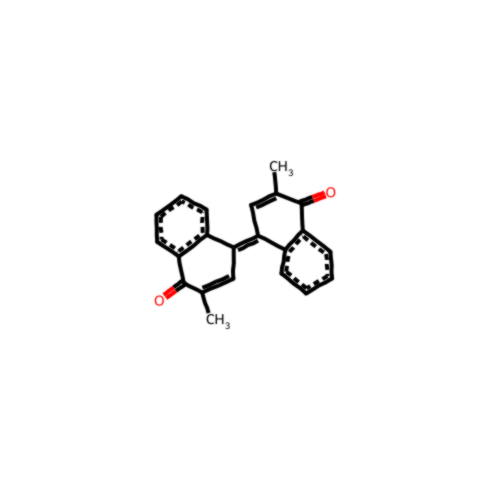 CC1=C/C(=C2/C=C(C)C(=O)c3ccccc32)c2ccccc2C1=O